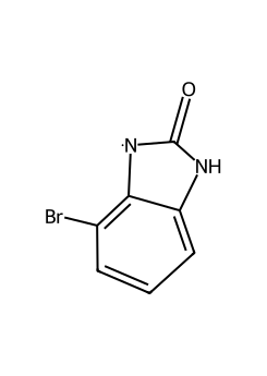 O=C1[N]c2c(Br)cccc2N1